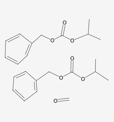 C=O.CC(C)OC(=O)OCc1ccccc1.CC(C)OC(=O)OCc1ccccc1